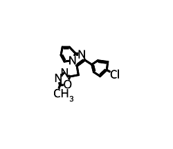 Cc1nnc(Cc2c(-c3ccc(Cl)cc3)nc3ccccn23)o1